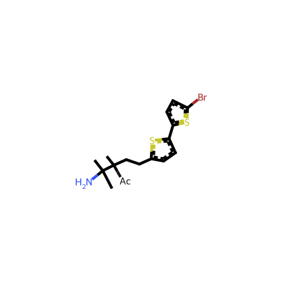 CC(=O)C(C)(CCc1ccc(-c2ccc(Br)s2)s1)C(C)(C)N